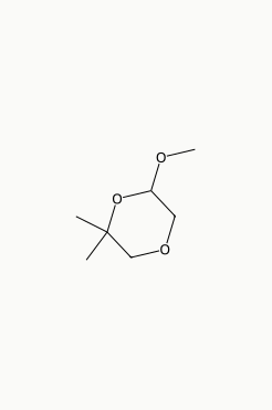 COC1COCC(C)(C)O1